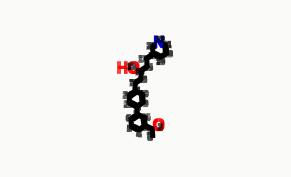 CC(=O)c1cccc(-c2ccc(CCC(O)CCc3cccnc3)cc2)c1